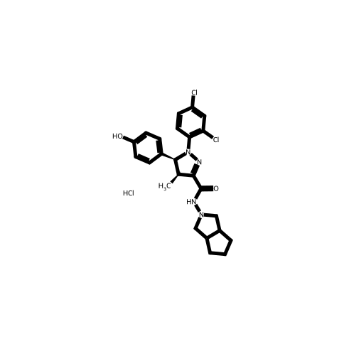 C[C@@H]1C(C(=O)NN2CC3CCCC3C2)=NN(c2ccc(Cl)cc2Cl)[C@@H]1c1ccc(O)cc1.Cl